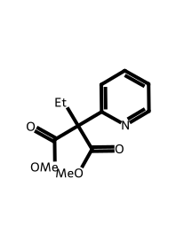 CCC(C(=O)OC)(C(=O)OC)c1ccccn1